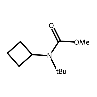 COC(=O)N(C1CCC1)C(C)(C)C